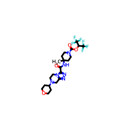 CC1(NC(=O)c2nnc3n2CCN(C2CCOCC2)C3)CCN(C(=O)OC(C(F)(F)F)C(F)(F)F)CC1